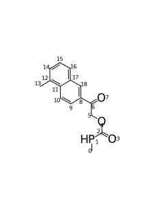 CPC(=O)OCC(=O)c1ccc2c(C)cccc2c1